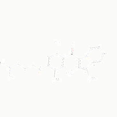 CCCCN(CCCC)CCCNc1ccc(C(=O)c2c(C)c(OC)c3ccccn23)cc1OC.Cl